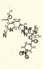 C=C(OCC)c1cc(C#N)nc2cc(Cn3cc(C(CC)(OC(=O)c4ccc([N+](=O)[O-])cc4)C(F)(F)F)nn3)ccc12